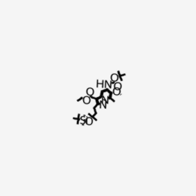 CCOC(=O)c1c(CCC(C)(C)O[Si](C)(C)C(C)(C)C)nn2c(C)c(OC)c(NC(=O)OC(C)(C)C)cc12